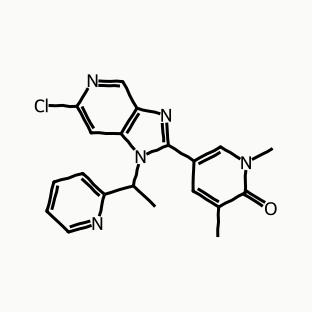 Cc1cc(-c2nc3cnc(Cl)cc3n2C(C)c2ccccn2)cn(C)c1=O